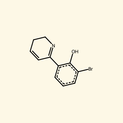 Oc1c(Br)cccc1C1=NCCC=C1